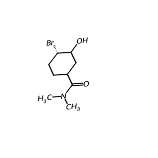 CN(C)C(=O)C1CC[C@H](Br)C(O)C1